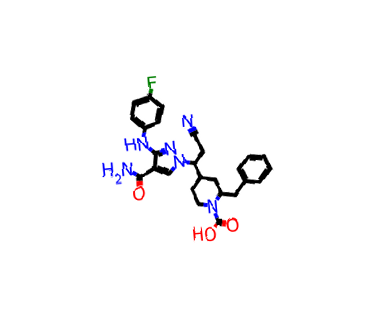 N#CCC(C1CCN(C(=O)O)C(Cc2ccccc2)C1)n1cc(C(N)=O)c(Nc2ccc(F)cc2)n1